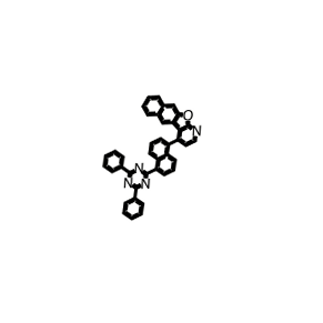 c1ccc(-c2nc(-c3ccccc3)nc(-c3cccc4c(-c5ccnc6oc7cc8ccccc8cc7c56)cccc34)n2)cc1